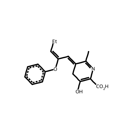 CC/C=C(\C=C1/CC(O)=C(C(=O)O)N=C1C)Oc1ccccc1